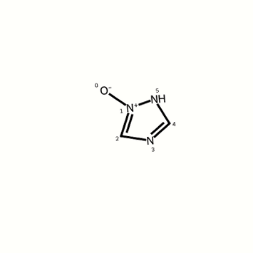 [O-][n+]1cnc[nH]1